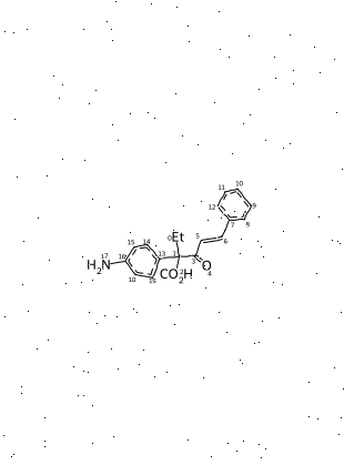 CCC(C(=O)O)(C(=O)/C=C/c1ccccc1)c1ccc(N)cc1